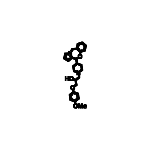 COc1ccc(OCC(O)CN2CCC(C3Oc4ccccc4Cn4cccc43)CC2)cc1